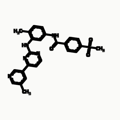 Cc1cncc(-c2ccnc(Nc3cc(NC(=O)c4ccc(S(C)(=O)=O)cc4)ccc3C)n2)c1